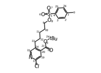 Cc1ccc(S(=O)(=O)OCCCCCc2cnc(Cl)cc2C(=O)OC(C)(C)C)cc1